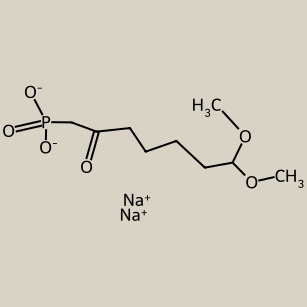 COC(CCCCC(=O)CP(=O)([O-])[O-])OC.[Na+].[Na+]